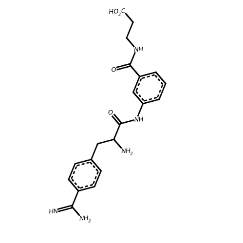 N=C(N)c1ccc(CC(N)C(=O)Nc2cccc(C(=O)NCCC(=O)O)c2)cc1